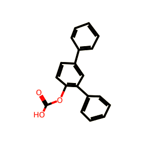 O=C(O)Oc1ccc(-c2ccccc2)cc1-c1ccccc1